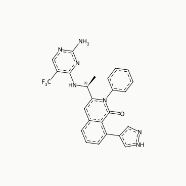 C[C@H](Nc1nc(N)ncc1C(F)(F)F)c1cc2cccc(-c3cn[nH]c3)c2c(=O)n1-c1ccccc1